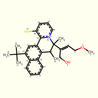 COC/C=C(\CO)C1(C)C(C)c2c(cc(C(C)(C)C)c3ccccc23)-c2c(S)ccc[n+]21